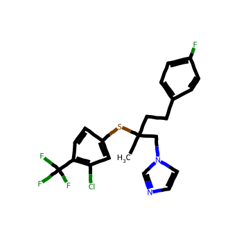 CC(CCc1ccc(F)cc1)(Cn1ccnc1)Sc1ccc(C(F)(F)F)c(Cl)c1